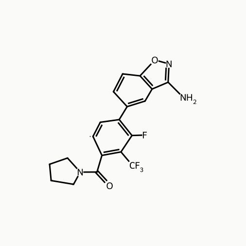 Nc1noc2ccc(-c3c[c]c(C(=O)N4CCCC4)c(C(F)(F)F)c3F)cc12